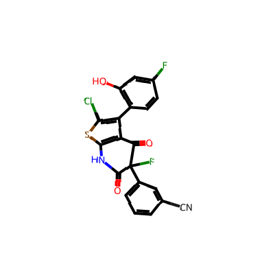 N#Cc1cccc(C2(F)C(=O)Nc3sc(Cl)c(-c4ccc(F)cc4O)c3C2=O)c1